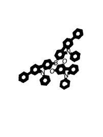 C1=CCCC(n2c3ccccc3c3c4c5c(cc32)Oc2c(ccc3c6ccc(-c7ccccc7)cc6n(-c6ccccc6)c23)B5c2ccc3c5ccc(-c6ccccc6)cc5n(-c5ccccc5)c3c2O4)=C1